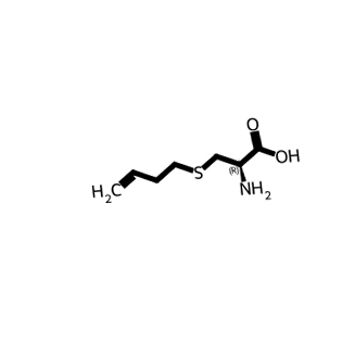 C=CCCSC[C@H](N)C(=O)O